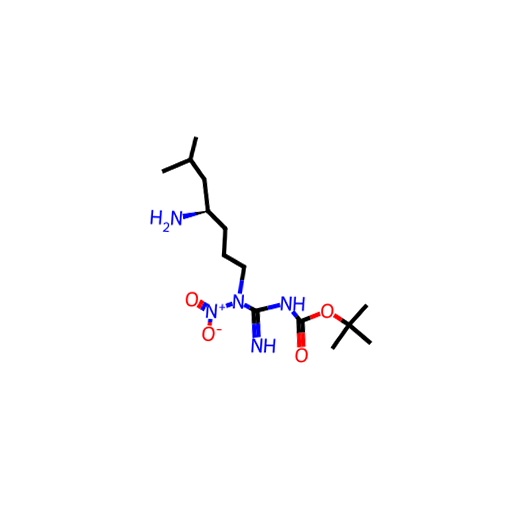 CC(C)C[C@H](N)CCCN(C(=N)NC(=O)OC(C)(C)C)[N+](=O)[O-]